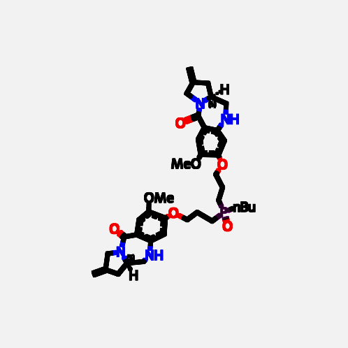 C=C1C[C@H]2CNc3cc(OCCCP(=O)(CCCC)CCCOc4cc5c(cc4OC)C(=O)N4CC(=C)C[C@H]4CN5)c(OC)cc3C(=O)N2C1